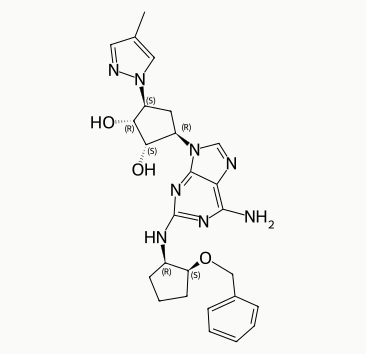 Cc1cnn([C@H]2C[C@@H](n3cnc4c(N)nc(N[C@@H]5CCC[C@@H]5OCc5ccccc5)nc43)[C@H](O)[C@@H]2O)c1